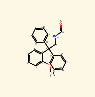 COc1ccccc1C(CNC=O)(c1ccccc1)c1ccccc1